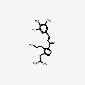 CCCc1c(CC(C)C)csc1C(=O)/C=C/c1cc(C)c(O)c(C)c1